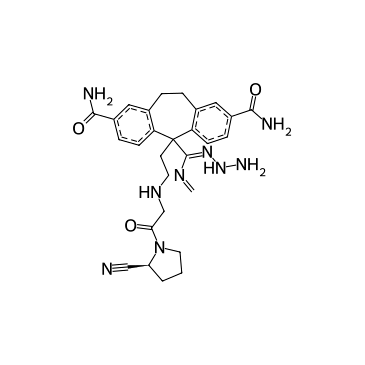 C=N/C(=N\NN)C1(CCNCC(=O)N2CCC[C@H]2C#N)c2ccc(C(N)=O)cc2CCc2cc(C(N)=O)ccc21